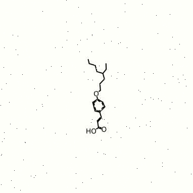 CCCCC(CC)CCCOc1ccc(C=CC(=O)O)cc1